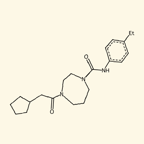 CCc1ccc(NC(=O)N2CCCN(C(=O)CC3CCCC3)CC2)cc1